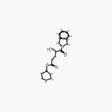 NC(CCC(=O)OC1CCCCC1)C(=O)N1Cc2ccccc2C1